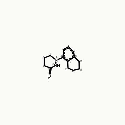 O=C1CCCN(c2cccc3c2CCCC3)N1